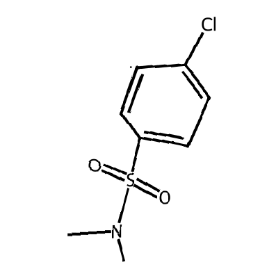 CN(C)S(=O)(=O)c1c[c]c(Cl)cc1